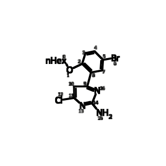 CCCCCCOc1ccc(Br)cc1-c1cc(Cl)nc(N)n1